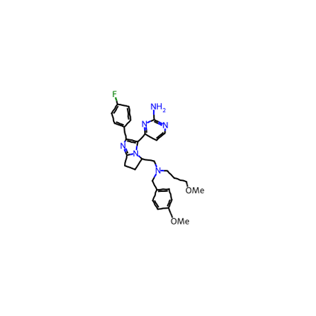 COCCCN(Cc1ccc(OC)cc1)CC1CCc2nc(-c3ccc(F)cc3)c(-c3ccnc(N)n3)n21